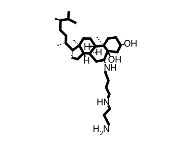 CC(C)[C@H](C)CC[C@@H](C)[C@H]1CC[C@H]2[C@@H]3C[C@@H](NCCCCNCCCN)[C@@]4(O)C[C@@H](O)CC[C@]4(C)[C@H]3CC[C@]12C